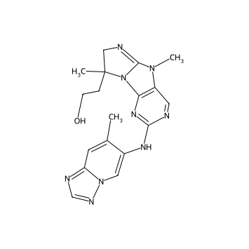 Cc1cc2ncnn2cc1Nc1ncc2c(n1)N1C(=NCC1(C)CCO)N2C